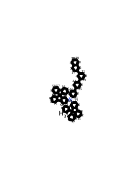 CC1(C2(c3ccccc3)c3ccccc3-c3ccc(N(c4ccc(-c5ccc(-c6cccc(-c7ccc8ccccc8c7)c6)cc5)cc4)c4ccc5c(c4)C(c4ccccc4)(c4ccccc4)c4ccccc4-5)cc32)C=CC=CC1